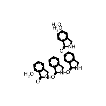 O.O.O.O=C1NCc2ccccc21.O=C1NCc2ccccc21.O=C1NCc2ccccc21.O=C1NCc2ccccc21